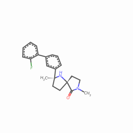 CN1CC[C@]2(CC[C@@](C)(c3cccc(-c4ccccc4F)c3)N2)C1=O